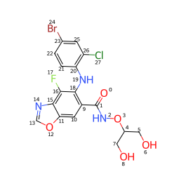 O=C(NOC(CO)CO)c1cc2ocnc2c(F)c1Nc1ccc(Br)cc1Cl